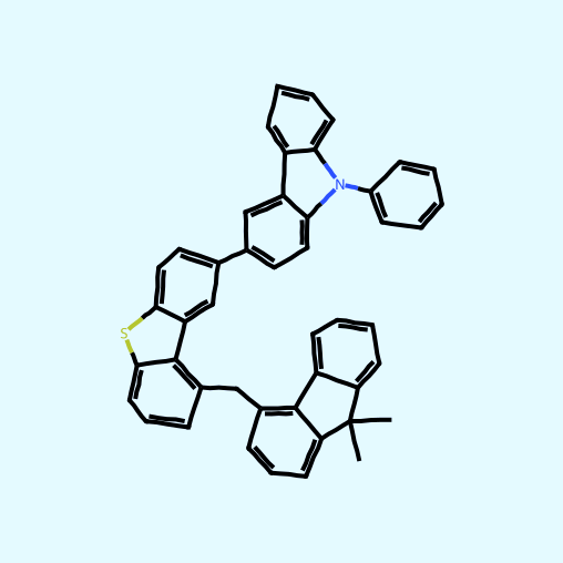 CC1(C)c2ccccc2-c2c(Cc3cccc4sc5ccc(-c6ccc7c(c6)c6ccccc6n7-c6ccccc6)cc5c34)cccc21